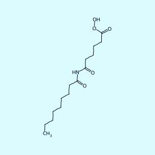 CCCCCCCCC(=O)NC(=O)CCCCC(=O)OO